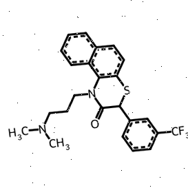 CN(C)CCCN1C(=O)C(c2cccc(C(F)(F)F)c2)Sc2ccc3ccccc3c21